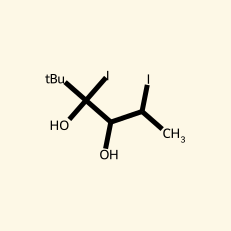 CC(I)C(O)C(O)(I)C(C)(C)C